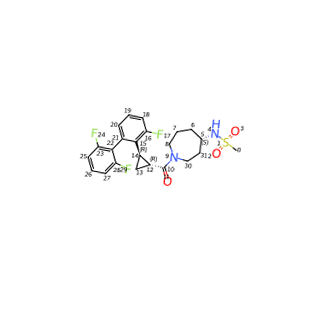 CS(=O)(=O)N[C@H]1CCCN(C(=O)[C@@H]2C[C@H]2c2c(F)cccc2-c2c(F)cccc2F)CC1